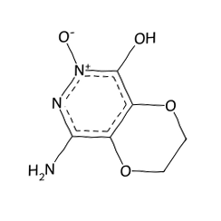 Nc1n[n+]([O-])c(O)c2c1OCCO2